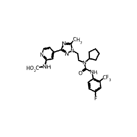 Cc1nc(-c2ccnc(NC(=O)O)c2)nn1CCN(C(=O)Nc1ccc(F)cc1C(F)(F)F)C1CCCC1